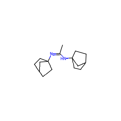 CC(=NC12CCC(CC1)C2)NC12CCC(CC1)C2